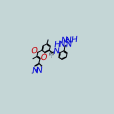 Cc1cc([C@@H](C)Nc2ccccc2-c2nn[nH]n2)c2oc(-c3cnn(C)c3)c(C)c(=O)c2c1